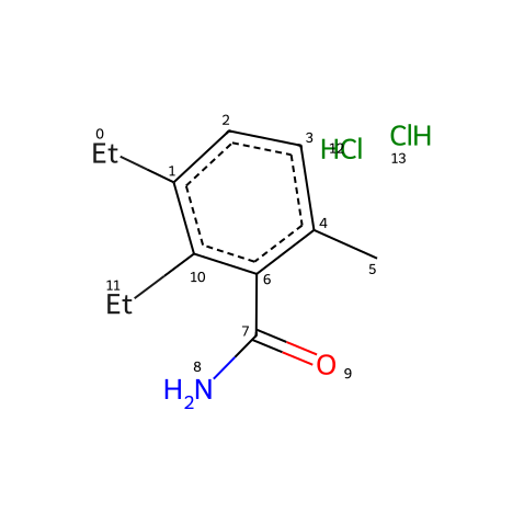 CCc1ccc(C)c(C(N)=O)c1CC.Cl.Cl